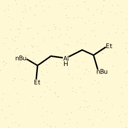 CCCCC(CC)[CH2][AlH][CH2]C(CC)CCCC